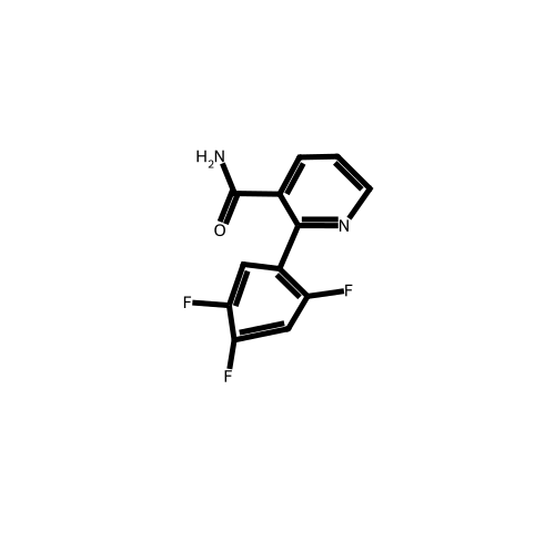 NC(=O)c1cccnc1-c1cc(F)c(F)cc1F